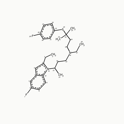 CCc1cc2cc(F)ccc2n1C(C)CCN(CC)CCC(C)(C)Sc1ccc(F)cc1